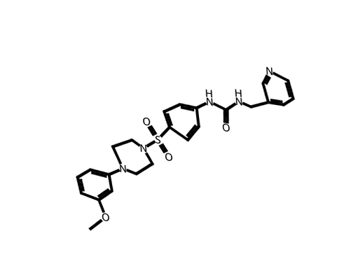 COc1cccc(N2CCN(S(=O)(=O)c3ccc(NC(=O)NCc4cccnc4)cc3)CC2)c1